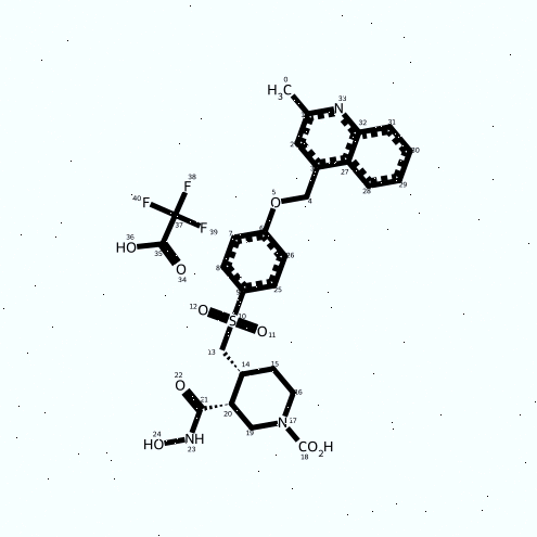 Cc1cc(COc2ccc(S(=O)(=O)C[C@@H]3CCN(C(=O)O)C[C@@H]3C(=O)NO)cc2)c2ccccc2n1.O=C(O)C(F)(F)F